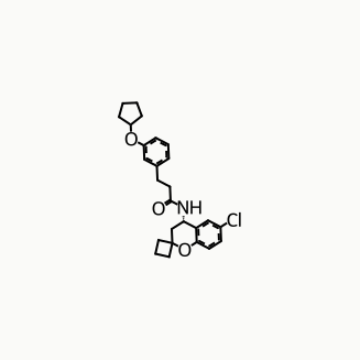 O=C(CCc1cccc(OC2CCCC2)c1)N[C@H]1CC2(CCC2)Oc2ccc(Cl)cc21